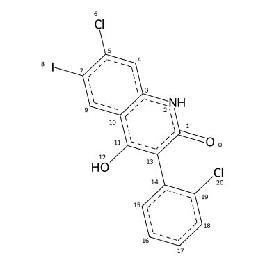 O=c1[nH]c2cc(Cl)c(I)cc2c(O)c1-c1ccccc1Cl